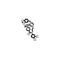 CS(=O)(=O)N1CCC(C(=O)N(CCCN2CCN(Cc3ccc4c(c3)OCO4)CC2)c2ccc(Cl)c(Cl)c2)CC1